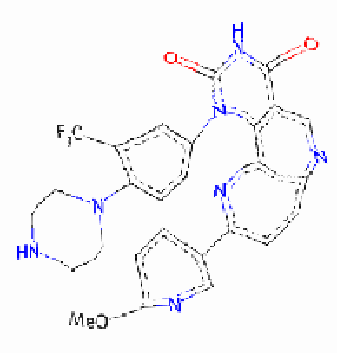 COc1ccc(-c2ccc3ncc4c(=O)[nH]c(=O)n(-c5ccc(N6CCNCC6)c(C(F)(F)F)c5)c4c3n2)cn1